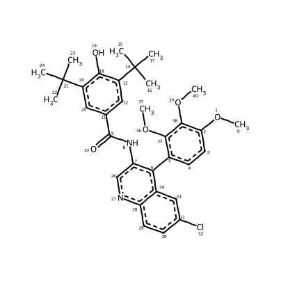 COc1ccc(-c2c(NC(=O)c3cc(C(C)(C)C)c(O)c(C(C)(C)C)c3)cnc3ccc(Cl)cc23)c(OC)c1OC